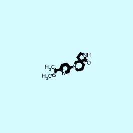 CSC(C)c1ccc(N2CCCC3(CCNC3=O)C2)cn1